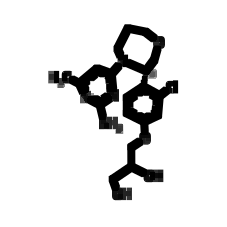 Cc1cc(N2CCCOC[C@@H]2c2ccc(OCC(O)CO)cc2Cl)nc(N)n1